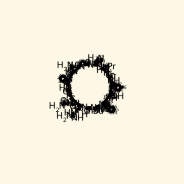 CCCC[C@H]1C(=O)N(C)[C@@H](CCCC)C(=O)N[C@@H](CCCNC(=N)N)C(=O)N[C@H](C(=O)NCC(N)=O)CSCC(=O)N[C@@H](Cc2ccccc2)C(=O)N(C)[C@@H](C)C(=O)N[C@@H](CC(N)=O)C(=O)N2CCC[C@H]2C(=O)N[C@@H](Cc2cnc[nH]2)C(=O)N[C@@H](CC(C)C)C(=O)N(C)CC(=O)N[C@@H](Cc2cccc(C)c2)C(=O)N[C@@H](CO)C(=O)N[C@@H](Cc2c[nH]c3ccccc23)C(=O)N1C